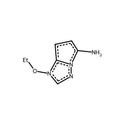 CCOn1cnn2c(N)ccc12